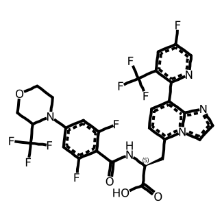 O=C(N[C@@H](Cc1ccc(-c2ncc(F)cc2C(F)(F)F)c2nccn12)C(=O)O)c1c(F)cc(N2CCOCC2C(F)(F)F)cc1F